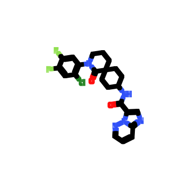 O=C(NC1CCC2(CCCN(c3cc(F)c(F)cc3Cl)C2=O)CC1)c1cnc2cccnn12